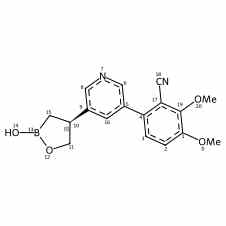 COc1ccc(-c2cncc([C@H]3COB(O)C3)c2)c(C#N)c1OC